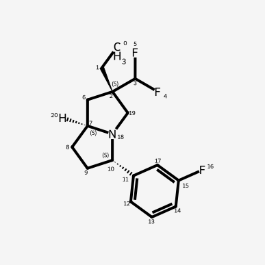 CC[C@]1(C(F)F)C[C@@H]2CC[C@@H](c3cccc(F)c3)N2C1